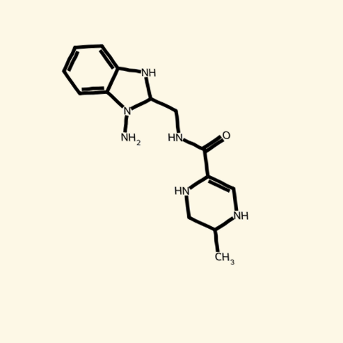 CC1CNC(C(=O)NCC2Nc3ccccc3N2N)=CN1